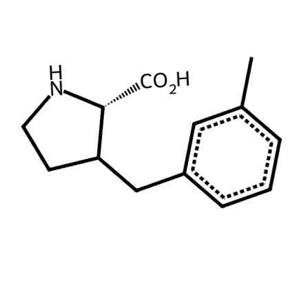 Cc1cccc(CC2CCN[C@@H]2C(=O)O)c1